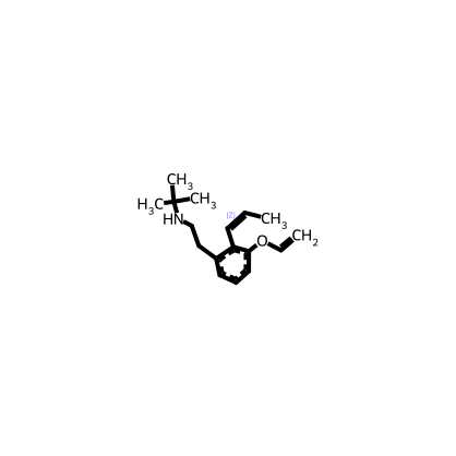 C=COc1cccc(CCNC(C)(C)C)c1/C=C\C